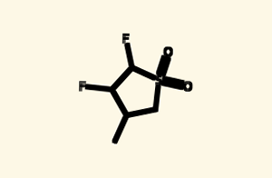 CC1CS(=O)(=O)C(F)C1F